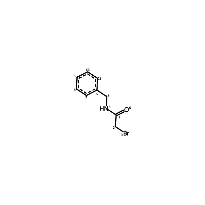 O=C(CBr)N[CH]c1ccccc1